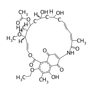 CCOc1c(C)c(O)c2c3c1C(=O)O/C=C/[C@H](OC)[C@@H](C)[C@@H](OC(C)=O)C[C@H](O)C[C@@H](O)C/C=C/C=C(/C)C(=O)NC(=CC3=O)C2=O